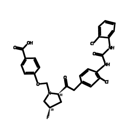 O=C(Nc1ccccc1Cl)Nc1ccc(CC(=O)[C@@H]2C[C@H](F)CN2COc2ccc(C(=O)O)cc2)cc1Cl